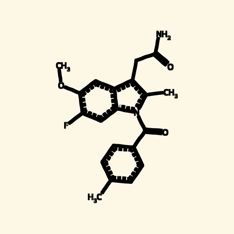 COc1cc2c(CC(N)=O)c(C)n(C(=O)c3ccc(C)cc3)c2cc1F